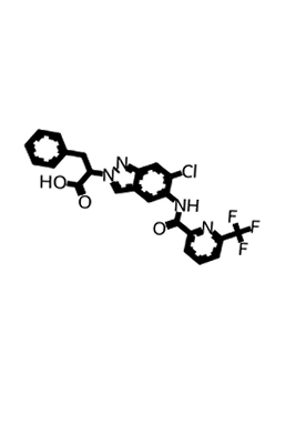 O=C(Nc1cc2cn(C(Cc3ccccc3)C(=O)O)nc2cc1Cl)c1cccc(C(F)(F)F)n1